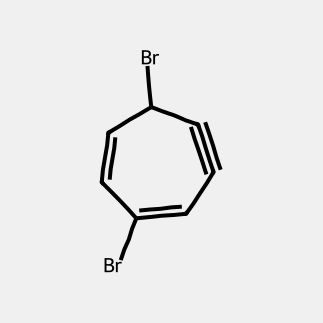 BrC1=CC#CC(Br)C=C1